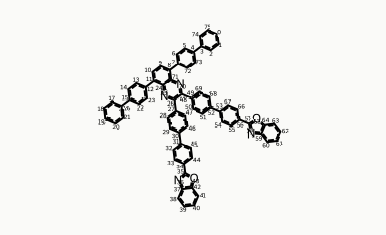 c1ccc(-c2ccc(-c3ccc(-c4ccc(-c5ccccc5)cc4)c4nc(-c5ccc(-c6ccc(-c7nc8ccccc8o7)cc6)cc5)c(-c5ccc(-c6ccc(-c7nc8ccccc8o7)cc6)cc5)nc34)cc2)cc1